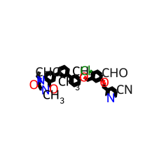 Cc1c(OCc2cc(OCc3cncc(C#N)c3)c(C=O)cc2Cl)cccc1-c1cccc(-c2ccc3c(c2)C(=O)N(C)CC(=O)N3CC=O)c1C